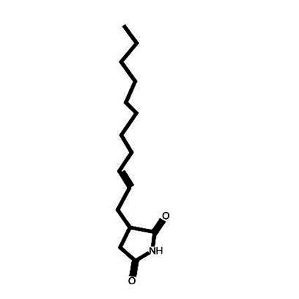 CCCCCCCCC=CCC1CC(=O)NC1=O